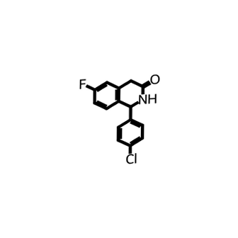 O=C1Cc2cc(F)ccc2C(c2ccc(Cl)cc2)N1